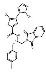 Cn1nccc1-c1cc(C(=O)N[C@@H](Cc2ccc(F)cc2)CN2C(=O)c3ccccc3C2=O)sc1Cl